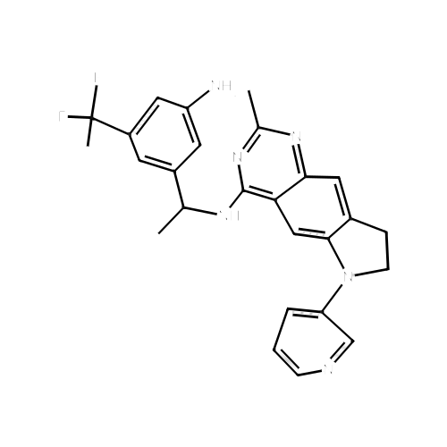 Cc1nc(NC(C)c2cc(N)cc(C(F)(F)F)c2)c2cc3c(cc2n1)CCN3c1cccnc1